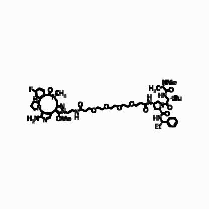 CC[C@H](NC(=O)[C@H]1C[C@@H](NC(=O)CCOCCOCCOCCOCCC(=O)NCCn2nc3c(c2OC)-c2cnc(N)c(c2)N2CCC[C@@H]2c2cc(F)ccc2C(=O)N(C)C3)CN1C(=O)[C@H](NC(=O)[C@@H](C)NC)C(C)(C)C)c1ccccc1